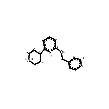 c1ccc(COc2cccc(C3CCNCC3)n2)cc1